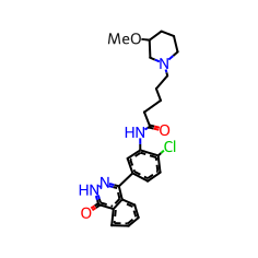 COC1CCCN(CCCCC(=O)Nc2cc(-c3n[nH]c(=O)c4ccccc34)ccc2Cl)C1